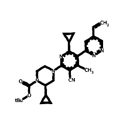 C=Cc1cnnc(-c2c(C3CC3)nc(N3CCN(C(=O)OC(C)(C)C)C(C4CC4)C3)c(C#N)c2C)c1